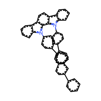 c1ccc(-c2ccc(-n3c4ccccc4c4ccc5c6ccccc6n(-c6ccc(-c7ccc8cc(-c9ccccc9)ccc8c7)cc6)c5c43)cc2)cc1